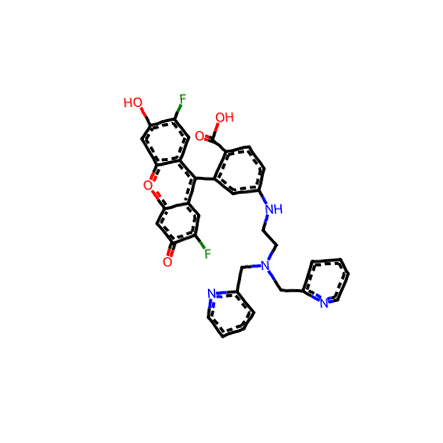 O=C(O)c1ccc(NCCN(Cc2ccccn2)Cc2ccccn2)cc1-c1c2cc(F)c(=O)cc-2oc2cc(O)c(F)cc12